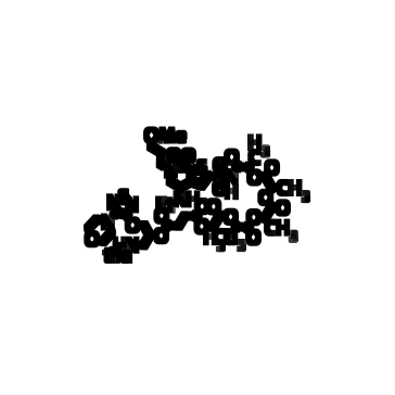 CCN[C@@H]1CN(CCCOC)S(=O)(=O)c2sc(S(=O)(=O)NC(=O)C(C)OC(=O)C(C)OC(=O)C(C)OC(=O)C(C)OC(=O)C(C)OC(=O)CCC(=O)OC(CNC(C)(C)C)COc3nsnc3N3CCOCC3)cc21